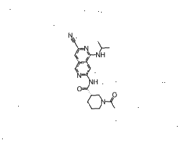 CC(=O)N1CCC[C@H](C(=O)Nc2cc3c(NC(C)C)nc(C#N)cc3cn2)C1